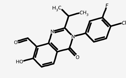 CC(C)c1nc2c(C=O)c(O)ccc2c(=O)n1-c1ccc(Cl)c(F)c1